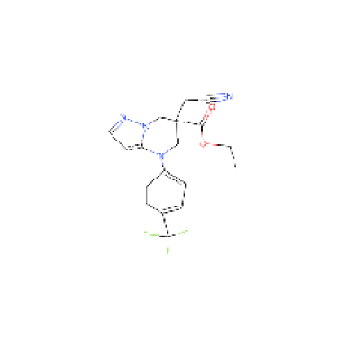 CCOC(=O)C1(CC#N)CN(c2ccc(C(F)(F)F)cc2)c2ccnn2C1